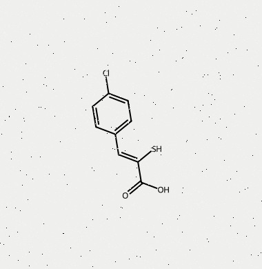 O=C(O)/C(S)=C/c1ccc(Cl)cc1